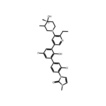 CCc1ncc(-c2cc(F)cc(-c3ccc(-n4ccn(C)c4=O)c(Cl)c3)c2O)cc1N1CC[C@@](C)(O)C(C)C1